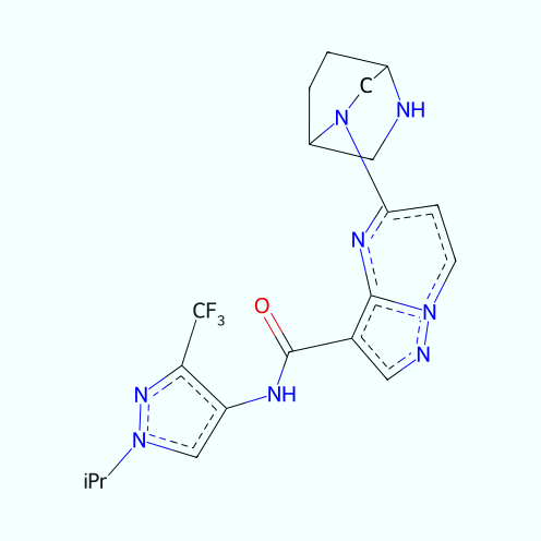 CC(C)n1cc(NC(=O)c2cnn3ccc(N4CC5CCC4CN5)nc23)c(C(F)(F)F)n1